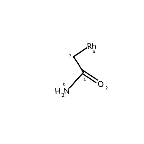 NC(=O)[CH2][Rh]